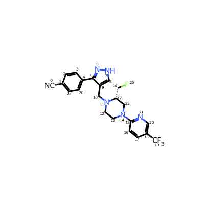 N#Cc1ccc(-c2n[nH]cc2CN2CCN(c3ccc(C(F)(F)F)cn3)C[C@H]2CF)cc1